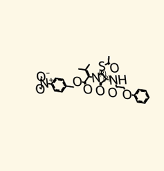 CC(=O)S[C@@H]1[C@H](NC(=O)COc2ccccc2)C(=O)N1C(C(=O)OCc1ccc([N+](=O)[O-])cc1)=C(C)C